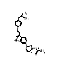 CC(=O)Nc1nccc(-c2ccc3c(C=Cc4ccc(CN(C)C)cc4)n[nH]c3c2)n1